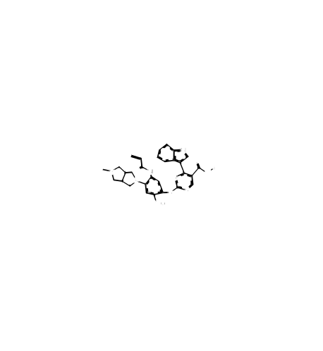 C=CC(=O)Nc1cc(Nc2ncc(C(=O)OC(C)C)c(-c3c[nH]c4ccccc34)n2)c(OC)cc1N1C[C@H]2CN(C)C[C@H]2C1